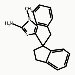 Cn1cc(C2(Cc3ccccc3)CCc3ccccc32)nc1N